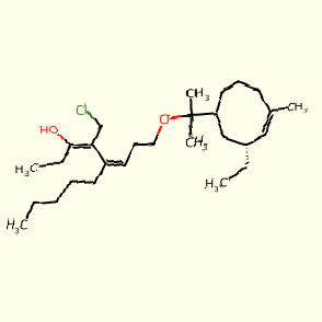 CCCCCC(=C/CCOC(C)(C)C1CCC/C(C)=C\[C@H](CC)C1)/C(CCl)=C(/O)CC